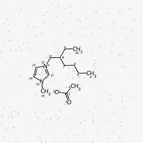 CC(=O)[O-].CCCCC(CC)C[n+]1ccn(C)c1